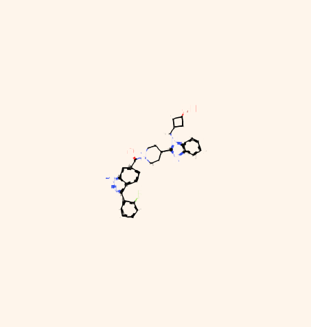 Cn1nc(-c2ccccc2F)c2ccc(C(=O)N3CCC(c4nc5ccccc5n4CC4CC(O)C4)CC3)cc21